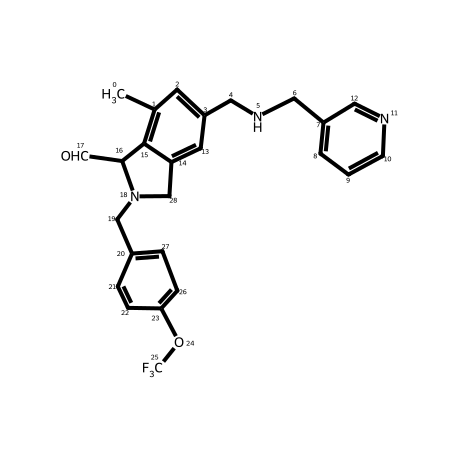 Cc1cc(CNCc2cccnc2)cc2c1C(C=O)N(Cc1ccc(OC(F)(F)F)cc1)C2